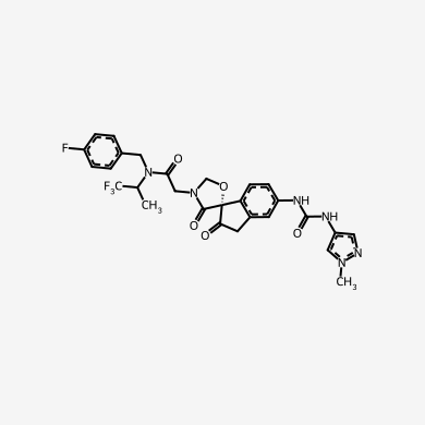 CC(N(Cc1ccc(F)cc1)C(=O)CN1CO[C@]2(C(=O)Cc3cc(NC(=O)Nc4cnn(C)c4)ccc32)C1=O)C(F)(F)F